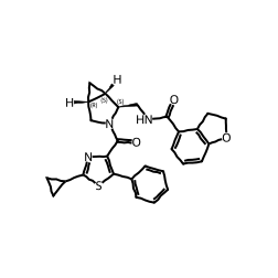 O=C(NC[C@@H]1[C@H]2C[C@H]2CN1C(=O)c1nc(C2CC2)sc1-c1ccccc1)c1cccc2c1CCO2